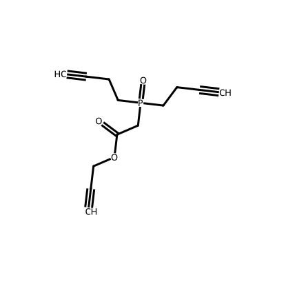 C#CCCP(=O)(CCC#C)CC(=O)OCC#C